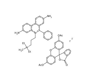 CC(=O)Oc1ccc2c(c1)Oc1cc(OC(C)=O)ccc1C21OC(=O)c2ccccc21.CC[N+](C)(CC)CCC[n+]1c(-c2ccccc2)c2cc(N)ccc2c2ccc(N)cc21.[I-].[I-]